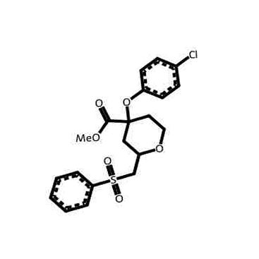 COC(=O)C1(Oc2ccc(Cl)cc2)CCOC(CS(=O)(=O)c2ccccc2)C1